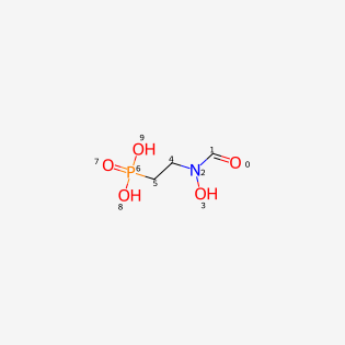 O=CN(O)CCP(=O)(O)O